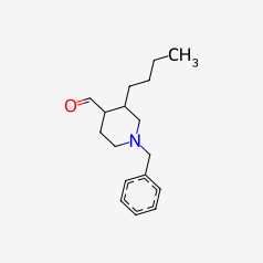 CCCCC1CN(Cc2ccccc2)CCC1C=O